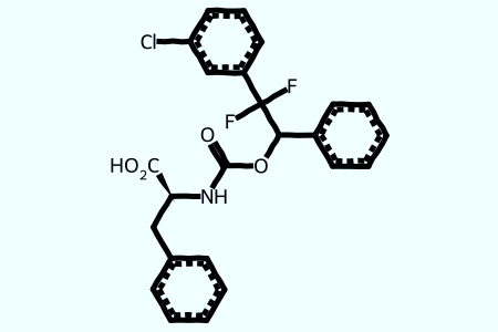 O=C(N[C@@H](Cc1ccccc1)C(=O)O)OC(c1ccccc1)C(F)(F)c1cccc(Cl)c1